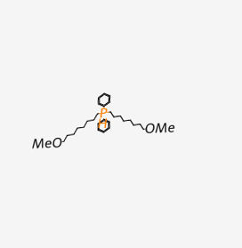 COCCCCCCCC[PH](CCCCCCCCOC)(c1ccccc1)c1ccccc1